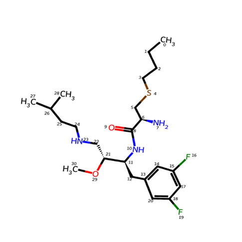 CCCCSC[C@@H](N)C(=O)N[C@@H](Cc1cc(F)cc(F)c1)[C@@H](CNCCC(C)C)OC